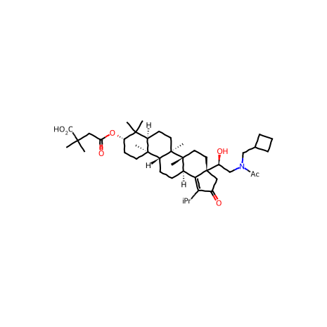 CC(=O)N(CC1CCC1)C[C@H](O)[C@@]12CC[C@]3(C)[C@H](CC[C@@H]4[C@@]5(C)CC[C@H](OC(=O)CC(C)(C)C(=O)O)C(C)(C)[C@H]5CC[C@]43C)C1=C(C(C)C)C(=O)C2